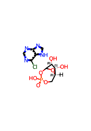 Clc1ncnc2nc[nH]c12.O=P1(O)OC[C@H]2OC(O1)[C@H](O)[C@@H]2O